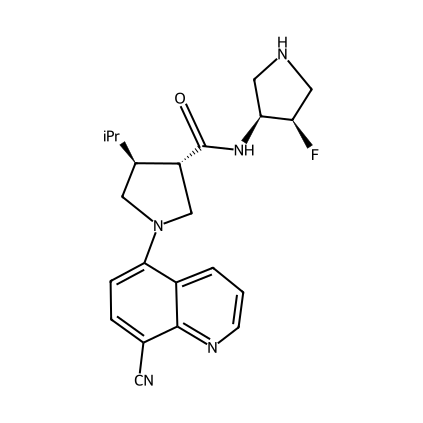 CC(C)[C@@H]1CN(c2ccc(C#N)c3ncccc23)C[C@H]1C(=O)N[C@H]1CNC[C@H]1F